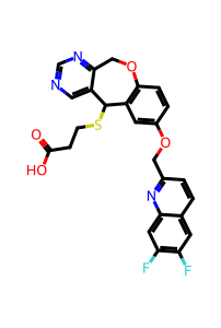 O=C(O)CCSC1c2cc(OCc3ccc4cc(F)c(F)cc4n3)ccc2OCc2ncncc21